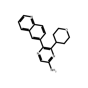 Nc1cnc(-c2ccc3ncccc3c2)c(C2CCOCC2)n1